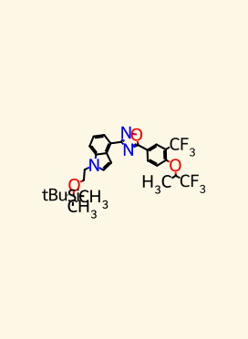 CC(Oc1ccc(-c2nc(-c3cccc4c3ccn4CCO[Si](C)(C)C(C)(C)C)no2)cc1C(F)(F)F)C(F)(F)F